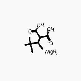 CC(C(C(=O)O)C(=O)O)C(C)(C)C.[MgH2]